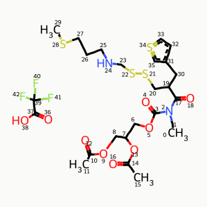 CCN(C(=O)OCC(COC(C)=O)OC(C)=O)C(=O)C(CSSCNCCCSC)Cc1ccsc1.O=C(O)C(F)(F)F